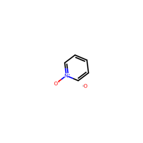 [O-][n+]1ccccc1.[O]